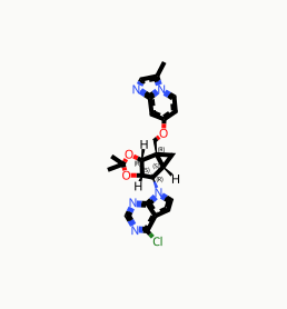 Cc1cnc2cc(OC[C@@]34C[C@@H]3[C@@H](n3ccc5c(Cl)ncnc53)[C@@H]3OC(C)(C)O[C@@H]34)ccn12